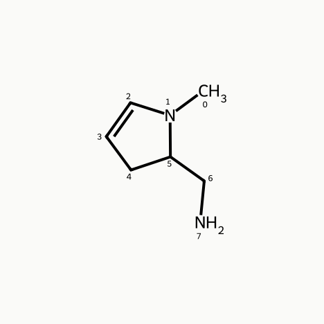 CN1C=CCC1CN